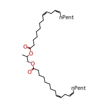 CCCCC/C=C\C/C=C\CCCCCCCC(=O)O[CH]C(C)OC(=O)CCCCCCC/C=C\C/C=C\CCCCC